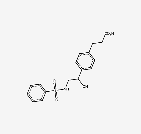 O=C(O)CCc1ccc(C(O)CNS(=O)(=O)c2ccccc2)cc1